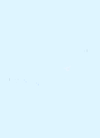 CCCc1ccc(OCc2ccc(CN3CCN(C(=O)O)CC3)cc2F)cc1